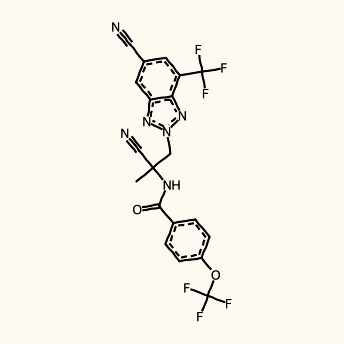 CC(C#N)(Cn1nc2cc(C#N)cc(C(F)(F)F)c2n1)NC(=O)c1ccc(OC(F)(F)F)cc1